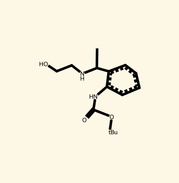 CC(NCCO)c1ccccc1NC(=O)OC(C)(C)C